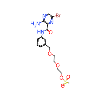 CS(=O)(=O)OCCOCCOCc1cccc(NC(=O)c2nc(Br)cnc2N)c1